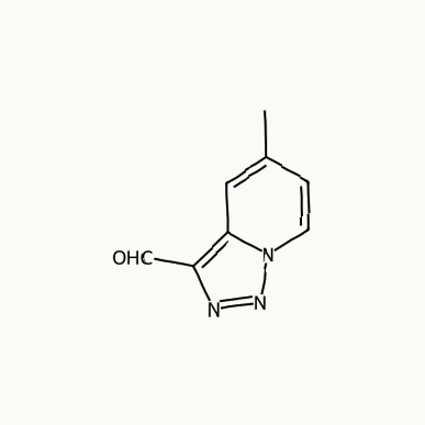 Cc1ccn2nnc(C=O)c2c1